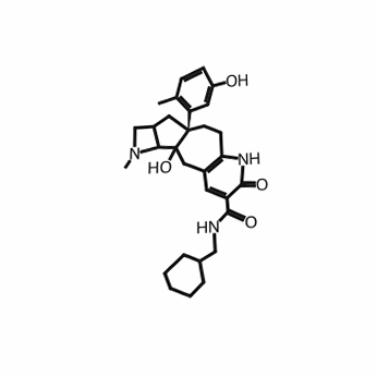 Cc1ccc(O)cc1[C@@]12CCc3[nH]c(=O)c(C(=O)NCC4CCCCC4)cc3CC1(O)C1C(CN1C)C2